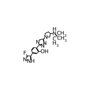 CC(C)(C)NC1CCN(c2cnc(-c3ccc(-c4c[nH]nc4F)cc3O)nn2)C1